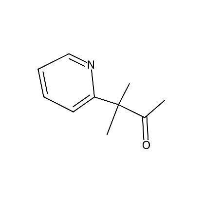 CC(=O)C(C)(C)c1ccccn1